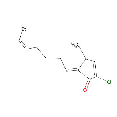 CC/C=C\CCC/C=C1/C(=O)C(Cl)=CC1C